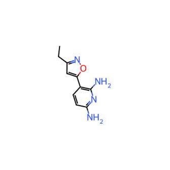 CCc1cc(-c2ccc(N)nc2N)on1